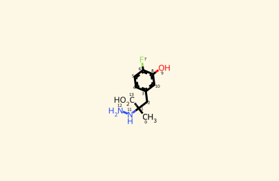 CC(Cc1ccc(F)c(O)c1)(NN)C(=O)O